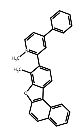 Cc1c(-c2cc(-c3ccccc3)cc[n+]2C)ccc2c1oc1ccc3ccccc3c12